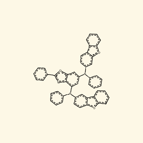 c1ccc(-c2nc3c(N(c4ccccc4)c4ccc5oc6ccccc6c5c4)cc(N(c4ccccc4)c4ccc5c(c4)oc4ccccc45)cc3o2)cc1